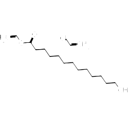 C=CCl.C=COC(=O)CCCCCCCCCCCCC